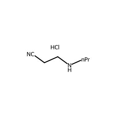 CCCNCCC#N.Cl